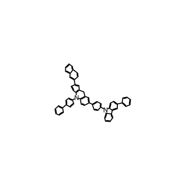 c1ccc(-c2ccc(N3c4ccc(-c5ccc(-n6c7ccccc7c7cc(-c8ccccc8)ccc76)cc5)cc4Cc4cc(-c5ccc6ccccc6c5)ccc43)cc2)cc1